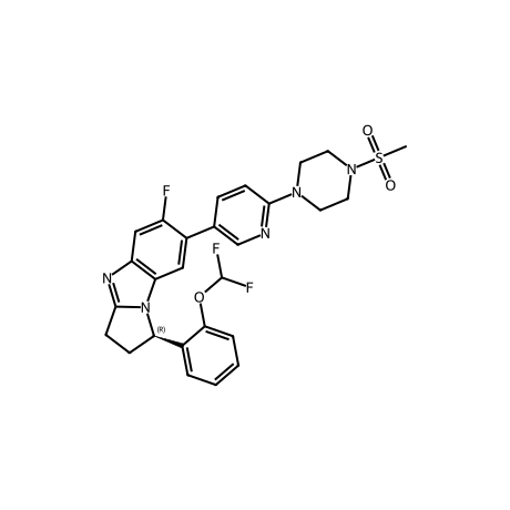 CS(=O)(=O)N1CCN(c2ccc(-c3cc4c(cc3F)nc3n4[C@@H](c4ccccc4OC(F)F)CC3)cn2)CC1